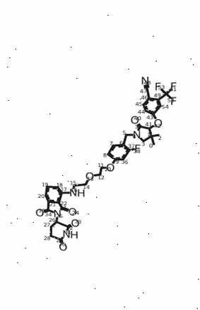 CC1(C)CN(Cc2ccc(OCCOCCNc3cccc4c3C(=O)N(C3CCC(=O)NC3=O)C4=O)cc2F)C(=O)C1Oc1ccc(C#N)c(C(F)(F)F)c1